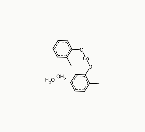 Cc1ccccc1[O][Co][O]c1ccccc1C.O.O